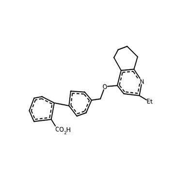 CCc1cc(OCc2ccc(-c3ccccc3C(=O)O)cc2)c2c(n1)CCCC2